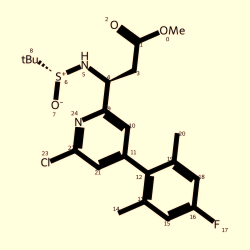 COC(=O)C[C@H](N[S@+]([O-])C(C)(C)C)c1cc(-c2c(C)cc(F)cc2C)cc(Cl)n1